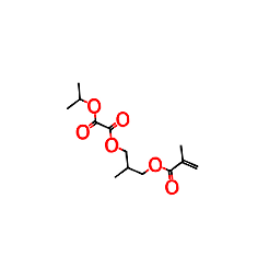 C=C(C)C(=O)OCC(C)COC(=O)C(=O)OC(C)C